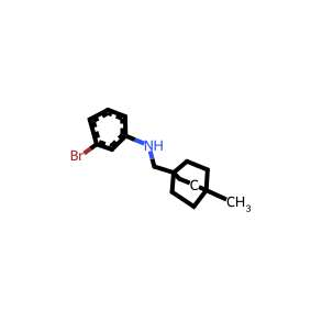 CC12CCC(CNc3cccc(Br)c3)(CC1)CC2